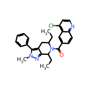 CCC1Cc2c(nn(C)c2-c2ccccc2)C(CC)N1C(=O)c1ccc2nccc(Cl)c2c1